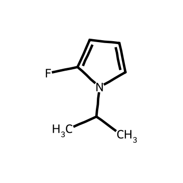 CC(C)n1cccc1F